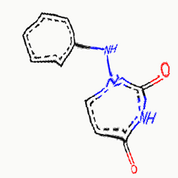 O=c1ccn(Nc2ccccc2)c(=O)[nH]1